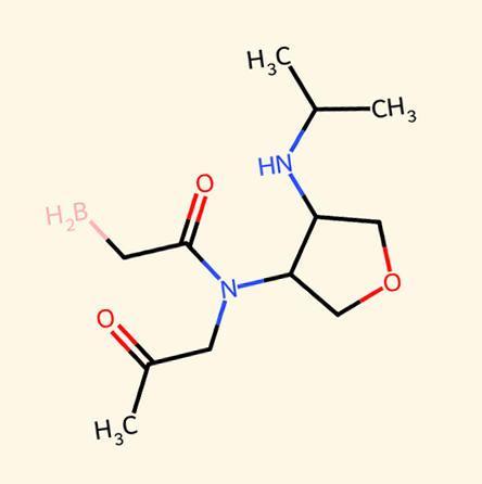 BCC(=O)N(CC(C)=O)C1COCC1NC(C)C